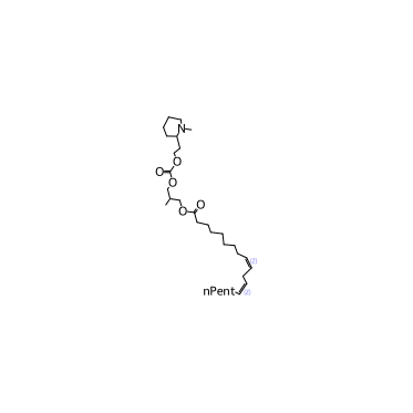 CCCCC/C=C\C/C=C\CCCCCCCC(=O)OCC(C)COC(=O)OCCC1CCCCN1C